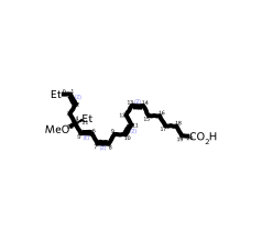 CC/C=C\C[C@@](/C=C/C=C\C/C=C\C/C=C\CCCCCC(=O)O)(CC)OC